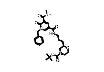 CNC(=O)c1cc(C(=O)NCCCC2CN(C(=O)OC(C)(C)C)CCO2)cn(Cc2ccccc2)c1=O